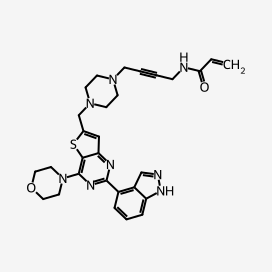 C=CC(=O)NCC#CCN1CCN(Cc2cc3nc(-c4cccc5[nH]ncc45)nc(N4CCOCC4)c3s2)CC1